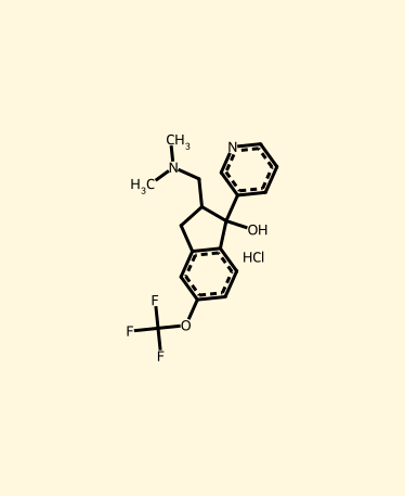 CN(C)CC1Cc2cc(OC(F)(F)F)ccc2C1(O)c1cccnc1.Cl